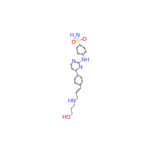 NS(=O)(=O)c1ccc(Nc2nccc(-c3ccc(C=CCNCCCO)cc3)n2)cc1